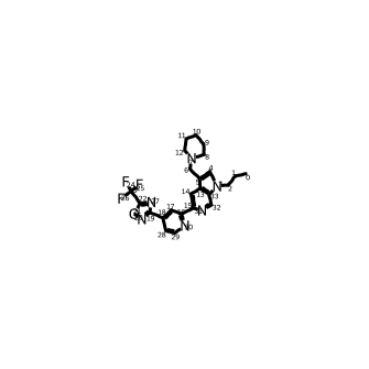 CCCn1cc(CN2CCCCC2)c2cc(-c3cc(-c4noc(C(F)(F)F)n4)ccn3)ncc21